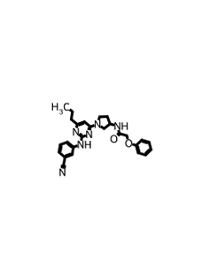 CCCc1cc(N2CCC(NC(=O)COc3ccccc3)C2)nc(Nc2cccc(C#N)c2)n1